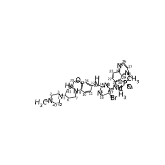 CN1CCN([C@H]2CCN3c4ccc(Nc5ncc(Br)c(Nc6ccc7nccnc7c6P(C)(C)=O)n5)cc4OC[C@H]3C2)CC1